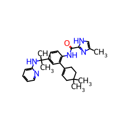 Cc1c[nH]c(C(=O)Nc2ccc(C(C)(C)Nc3ccccn3)cc2C2=CCC(C)(C)CC2)n1